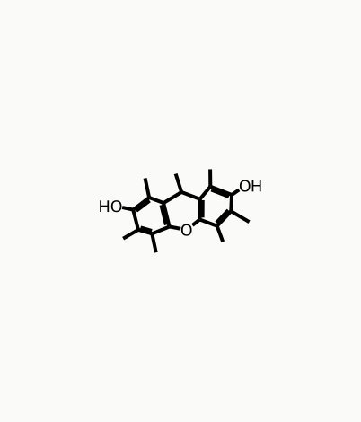 Cc1c(C)c2c(c(C)c1O)C(C)c1c(C)c(O)c(C)c(C)c1O2